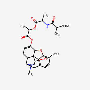 COc1ccc2c3c1OC1C(OC(=O)C(C)OC(=O)C(C)NC(=O)C(C)NC(C)=O)=CCC4C(C2)N(C)CC(O)C314